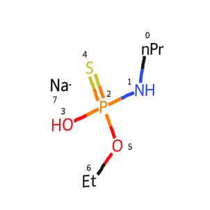 CCCNP(O)(=S)OCC.[Na]